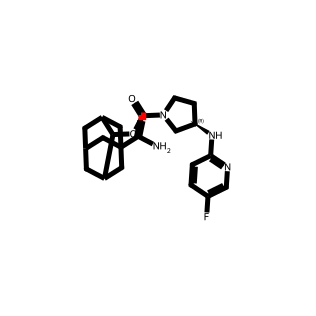 NC(=O)C12CC3CC(C1)C(OC(=O)N1CC[C@@H](Nc4ccc(F)cn4)C1)C(C3)C2